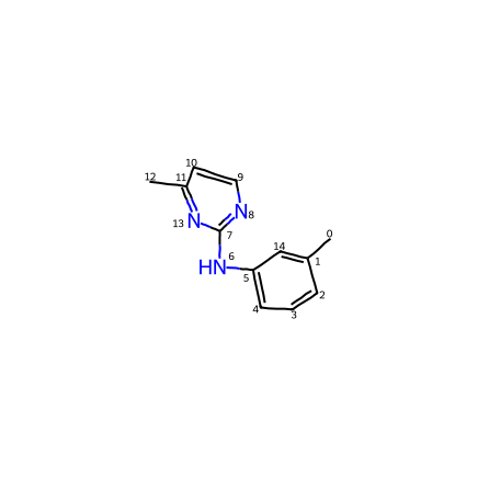 Cc1cccc(Nc2nccc(C)n2)c1